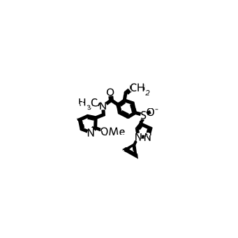 C=Cc1cc([S+]([O-])c2cnn(C3CC3)c2)ccc1C(=O)N(C)Cc1cccnc1OC